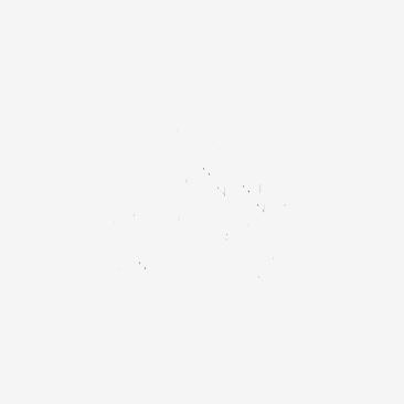 Cc1cccnc1CC(Cc1ncccc1C)=C(Cc1ncccc1C)NN